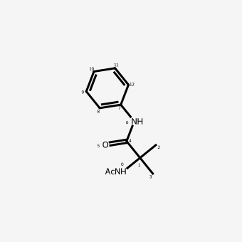 CC(=O)NC(C)(C)C(=O)Nc1ccccc1